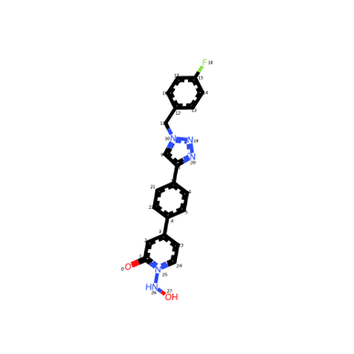 O=c1cc(-c2ccc(-c3cn(Cc4ccc(F)cc4)nn3)cc2)ccn1NO